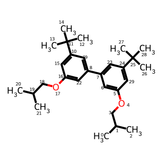 CC(C)COc1cc(-c2[c]c(C(C)(C)C)cc(OCC(C)C)c2)[c]c(C(C)(C)C)c1